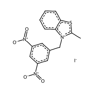 Cc1sc2ccccc2[n+]1Cc1cc([N+](=O)[O-])cc([N+](=O)[O-])c1.[I-]